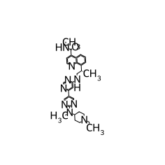 CCN1CCC(N(C)c2ncc(-c3cc(NC[C@@H](C)c4cccc5c(C(=O)NC)ccnc45)ncn3)cn2)CC1